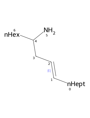 [CH2]CCCCCC/C=C/CC(N)CCCCCC